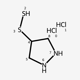 Cl.Cl.SSC1CNNC1